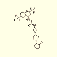 O=C(CNc1cc(C(F)(F)F)nc2ccc(C(F)(F)F)cc12)NC1CN([C@H]2CC[C@@H](n3ccccc3=O)CC2)C1